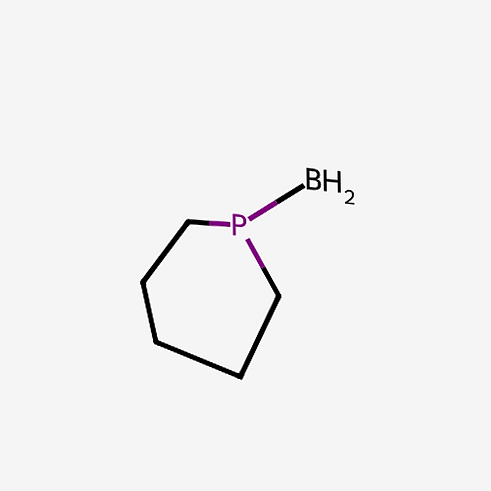 BP1CCCCC1